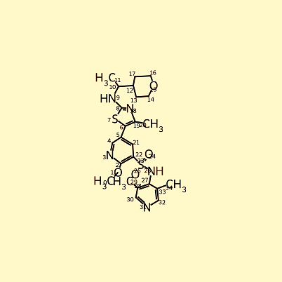 COc1ncc(-c2sc(NC(C)C3CCOCC3)nc2C)cc1S(=O)(=O)Nc1c(C)cncc1C